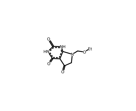 CCOCN1CC(=O)c2c1[nH]c(=O)[nH]c2=O